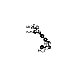 COC[C@H]1C[C@@H](c2ncc(-c3ccc(-c4ccc(-c5cnc([C@@H]6C[C@H](C)CN6C(=O)[C@H](NC(=O)O)c6ccccc6)[nH]5)cc4)cc3)[nH]2)N(C(=O)[C@@H](NC(=O)OC)C(C)C)C1